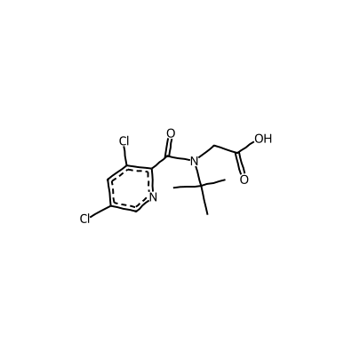 CC(C)(C)N(CC(=O)O)C(=O)c1ncc(Cl)cc1Cl